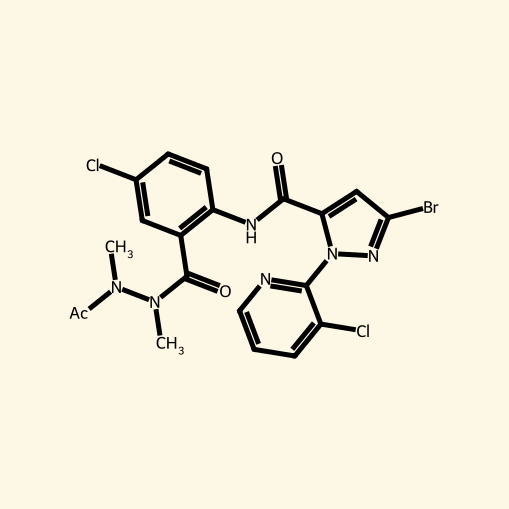 CC(=O)N(C)N(C)C(=O)c1cc(Cl)ccc1NC(=O)c1cc(Br)nn1-c1ncccc1Cl